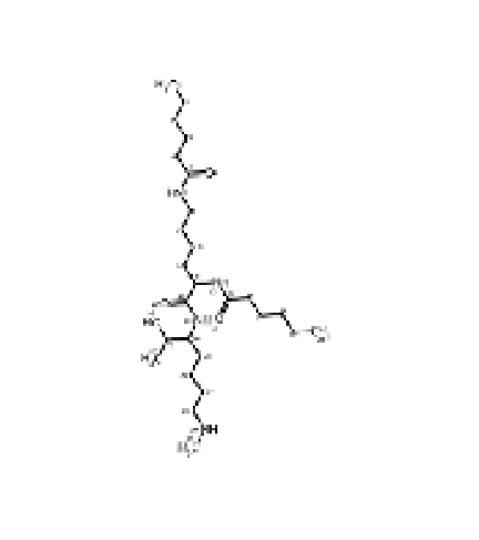 CCCCCC(=O)NCCCCC(NC(=O)CCCCC)C(=O)NC(CCCCNC)C(C)O